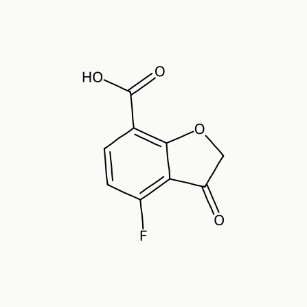 O=C(O)c1ccc(F)c2c1OCC2=O